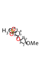 COc1ccc(Oc2cccc(S(C)(=O)=O)c2)cc1